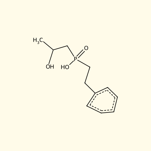 CC(O)CP(=O)(O)CCc1ccccc1